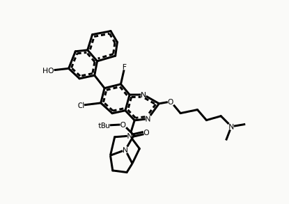 CN(C)CCCCOc1nc(N2CC3CCC(C2)N3C(=O)OC(C)(C)C)c2cc(Cl)c(-c3cc(O)cc4ccccc34)c(F)c2n1